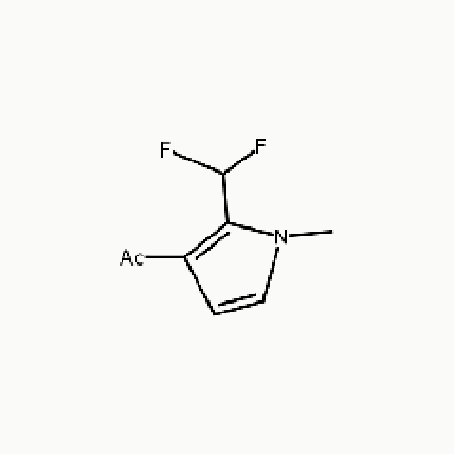 CC(=O)c1ccn(C)c1C(F)F